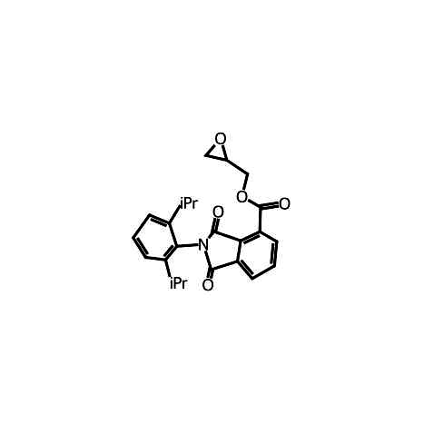 CC(C)c1cccc(C(C)C)c1N1C(=O)c2cccc(C(=O)OCC3CO3)c2C1=O